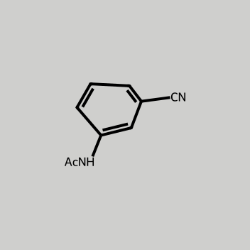 CC(=O)Nc1cccc(C#N)c1